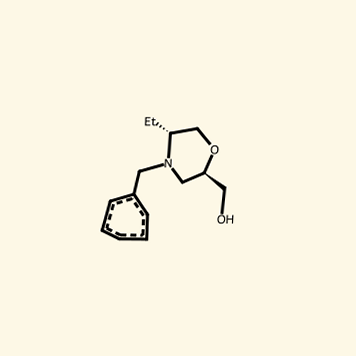 CC[C@@H]1CO[C@@H](CO)CN1Cc1ccccc1